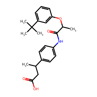 CC(Oc1cccc(C(C)(C)C)c1)C(=O)Nc1ccc(C(C)CC(=O)O)cc1